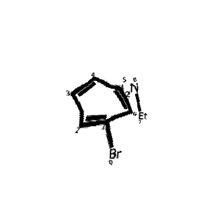 Brc1ccccc1.CCN